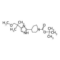 COCC(C)(C)c1c[nH]c(C2CCN(C(=O)OC(C)(C)C)CC2)n1